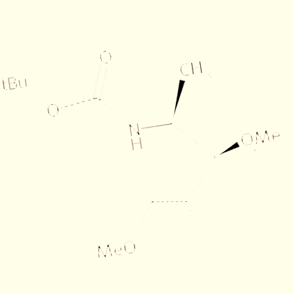 COCC[C@H](OC)[C@H](C)NC(=O)OC(C)(C)C